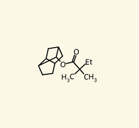 CCC(C)(C)C(=O)OC1C2CC3CCC1C3C2